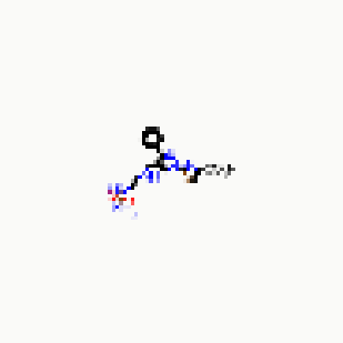 NS(=O)(=O)NCCNCc1cn(-c2nc(C(=O)O)cs2)nc1-c1ccccc1